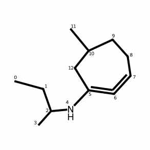 CCC(C)NC1=C=CCCC(C)C1